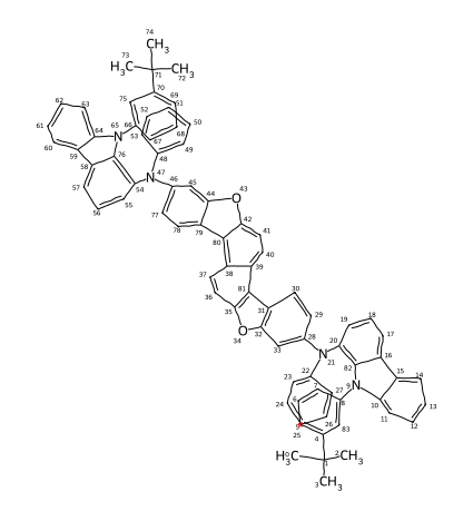 CC(C)(C)c1cccc(-n2c3ccccc3c3cccc(N(c4ccccc4)c4ccc5c(c4)oc4ccc6c(ccc7oc8cc(N(c9ccccc9)c9cccc%10c%11ccccc%11n(-c%11cccc(C(C)(C)C)c%11)c9%10)ccc8c76)c45)c32)c1